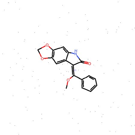 CO/C(=C1/C(=O)Nc2cc3c(cc21)OCO3)c1ccccc1